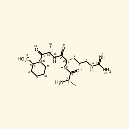 C[C@H](N)C(=O)N[C@@H](CCCNC(=N)N)C(=O)N[C@@H](C)C(=O)N1CCCC[C@H]1C(=O)O